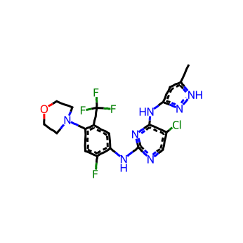 Cc1cc(Nc2nc(Nc3cc(C(F)(F)F)c(N4CCOCC4)cc3F)ncc2Cl)n[nH]1